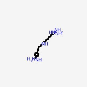 N=C(N)NCCCCCCCCNCCCC#Cc1ccc(C(=N)N)cc1